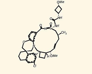 CO[C@H]1/C=C/C[C@H](C)C[S@@](=O)(NC(=O)N[C@H]2C[C@@H](OC)C2)=NC(=O)c2ccc3c(c2)N(C[C@@H]2CC[C@H]21)C[C@@]1(CCCc2cc(Cl)ccc21)CO3